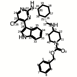 O=C(OCc1ccccc1)N1CCC(NC[C@H]2CCC[C@@H](Nc3ncc(Cl)c(-c4c[nH]c5ccccc45)n3)C2)CC1